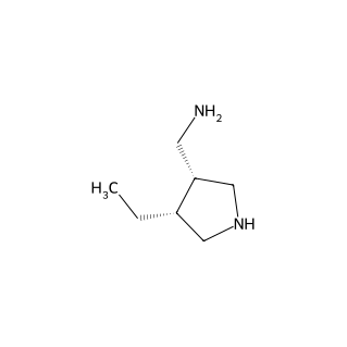 CC[C@H]1CNC[C@H]1CN